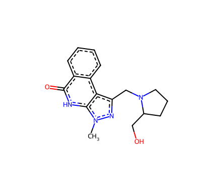 Cn1nc(CN2CCCC2CO)c2c3ccccc3c(=O)[nH]c21